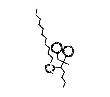 CCCCCCCCCCCn1ccnc1C(CCCC)C(C)(Cc1ccccc1)c1ccccc1